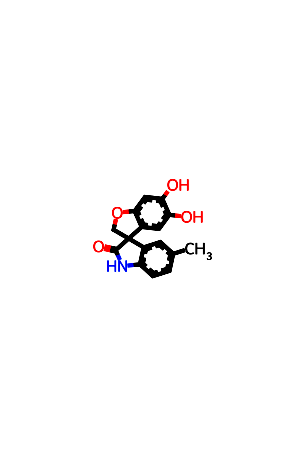 Cc1ccc2c(c1)C1(COc3cc(O)c(O)cc31)C(=O)N2